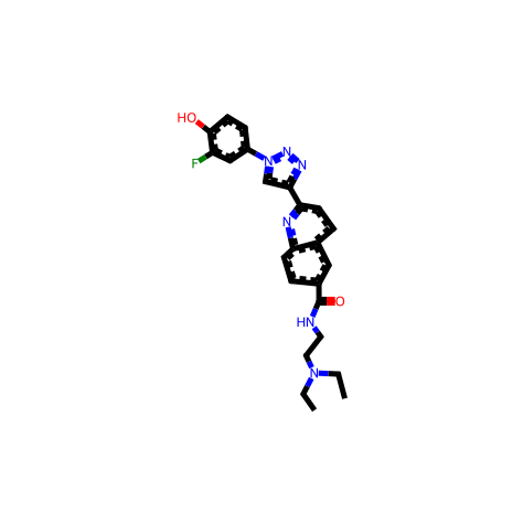 CCN(CC)CCNC(=O)c1ccc2nc(-c3cn(-c4ccc(O)c(F)c4)nn3)ccc2c1